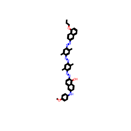 CCCOc1cccc2cc(N=Nc3cc(C)c(N=Nc4cc(C)c(N=Nc5ccc6cc(Nc7ccc(OC)cc7)ccc6c5O)cc4C)cc3C)ccc12